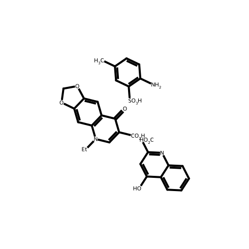 CCn1cc(C(=O)O)c(=O)c2cc3c(cc21)OCO3.Cc1ccc(N)c(S(=O)(=O)O)c1.O=C(O)c1cc(O)c2ccccc2n1